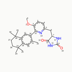 COc1ccc(CC2NC(=O)NC2=O)nc1-c1cc2c(cc1C)C(C)(C)CCC2(C)C